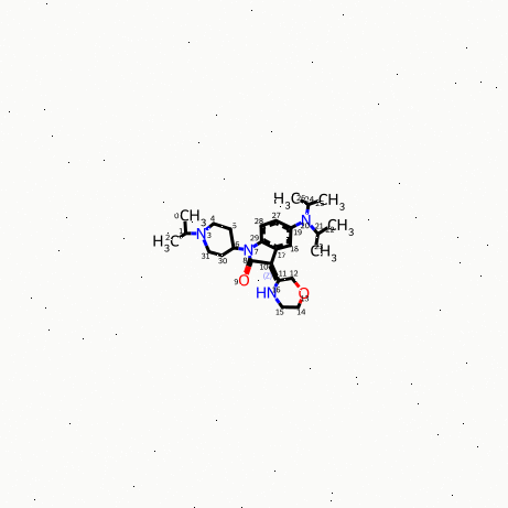 CC(C)N1CCC(N2C(=O)/C(=C3/COCCN3)c3cc(N(C(C)C)C(C)C)ccc32)CC1